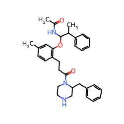 CC(=O)NC(Oc1cc(C)ccc1CCC(=O)N1CCNCC1Cc1ccccc1)C(C)c1ccccc1